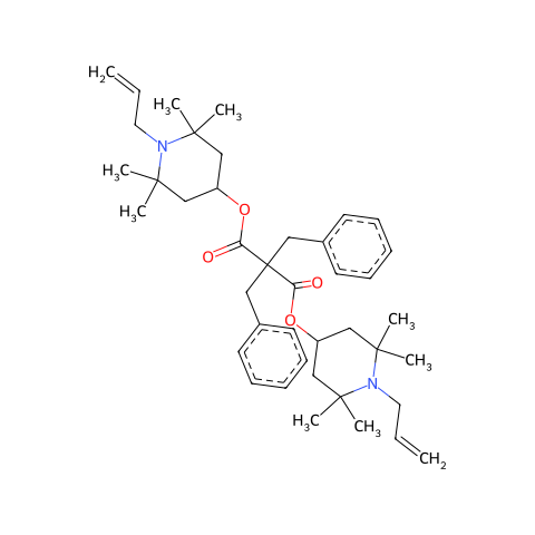 C=CCN1C(C)(C)CC(OC(=O)C(Cc2ccccc2)(Cc2ccccc2)C(=O)OC2CC(C)(C)N(CC=C)C(C)(C)C2)CC1(C)C